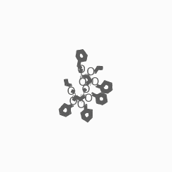 C=CCOC[C@@H](OCc1ccccc1)[C@@H](OCc1ccccc1)[C@H](CO[C@@H]1O[C@H](COCc2ccccc2)[C@@H](OCC=C)[C@H]1OCc1ccccc1)OCc1ccccc1